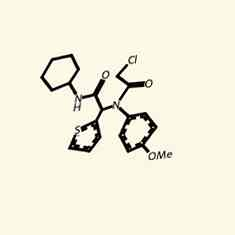 COc1ccc(N(C(=O)CCl)C(C(=O)NC2CCCCC2)c2cccs2)cc1